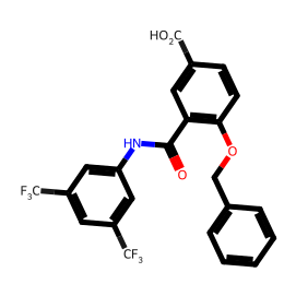 O=C(O)c1ccc(OCc2ccccc2)c(C(=O)Nc2cc(C(F)(F)F)cc(C(F)(F)F)c2)c1